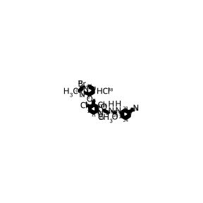 Cc1nc2c(OCc3c(Cl)ccc(N(C)C(=O)CNC(=O)Nc4cccc(C#N)c4)c3Cl)cccn2c1Br.Cl